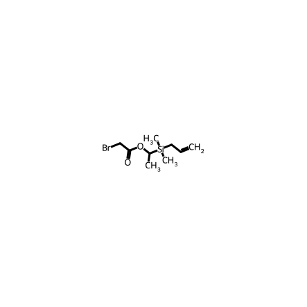 C=CC[Si](C)(C)C(C)OC(=O)CBr